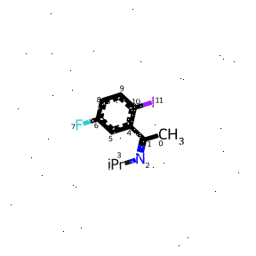 C/C(=N/C(C)C)c1cc(F)ccc1I